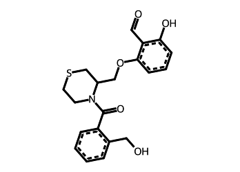 O=Cc1c(O)cccc1OCC1CSCCN1C(=O)c1ccccc1CO